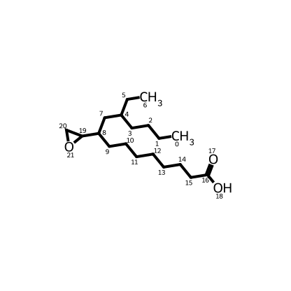 CCCCC(CC)CC(CCCCCCCC(=O)O)C1CO1